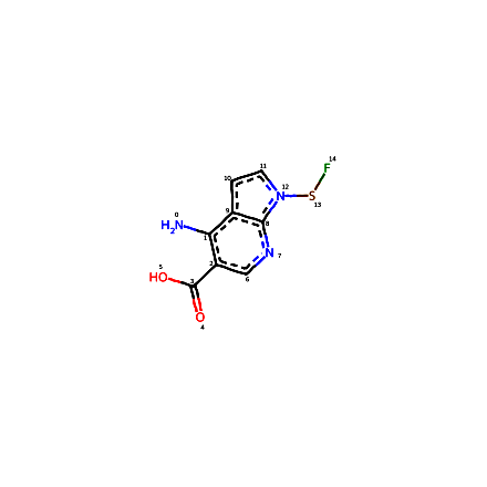 Nc1c(C(=O)O)cnc2c1ccn2SF